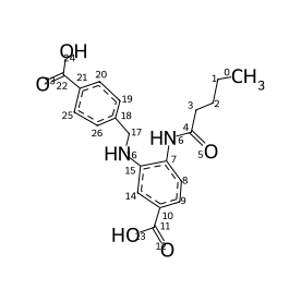 CCCCC(=O)Nc1ccc(C(=O)O)cc1NCc1ccc(C(=O)O)cc1